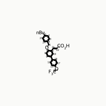 CCCCc1ccc(COc2ccc(-c3ccc(OC(F)(F)F)cc3)cc2C=CC(=O)O)cc1